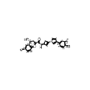 O=C(NC1C=C(n2ccc(-c3ccc(Cl)c(F)c3)c2)C1)[C@@H]1C[C@@H](O)c2cc(Cl)ccc2O1